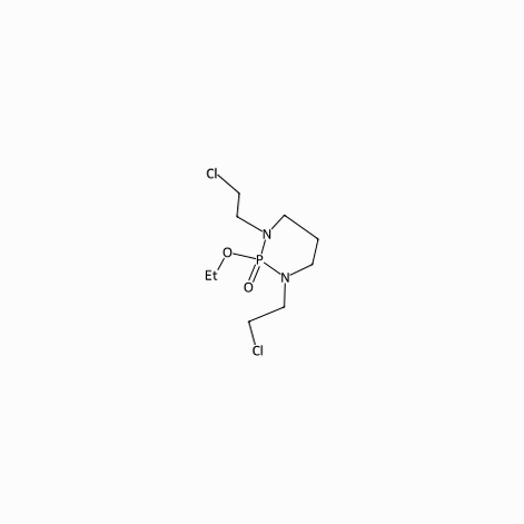 CCOP1(=O)N(CCCl)CCCN1CCCl